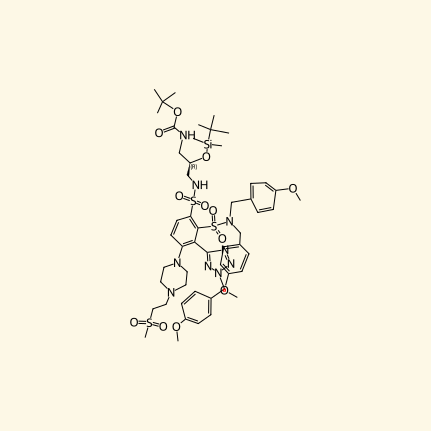 COc1ccc(CN(Cc2ccc(OC)cc2)S(=O)(=O)c2c(S(=O)(=O)NC[C@@H](CNC(=O)OC(C)(C)C)O[Si](C)(C)C(C)(C)C)ccc(N3CCN(CCS(C)(=O)=O)CC3)c2-c2nnn(Cc3ccc(OC)cc3)n2)cc1